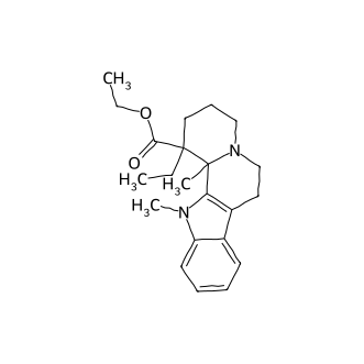 CCOC(=O)C1(CC)CCCN2CCc3c(n(C)c4ccccc34)C21C